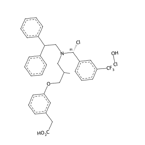 CC(COc1cccc(CC(=O)O)c1)CN(CC(c1ccccc1)c1ccccc1)[C@H](Cl)c1cccc(C(F)(F)F)c1.OCl